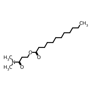 CCCCCCCCCCCC(=O)OCCC(=O)N(C)C